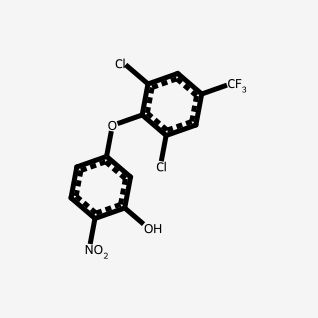 O=[N+]([O-])c1ccc(Oc2c(Cl)cc(C(F)(F)F)cc2Cl)cc1O